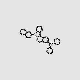 c1ccc(N(c2ccccc2)c2ccc3c(ccc4c3c3ccccc3n4-c3ccc4ccccc4c3)c2)cc1